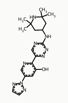 CC1(C)CC(Nc2ncc(-c3ncc(-n4nccn4)cc3O)nn2)CC(C)(C)N1